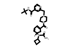 CC(C)(C)NC(=O)c1ccnc(CN2CCN(C(=O)C3=CC=CC(F)(N(C(N)=O)C4CCC4)C3)CC2)c1